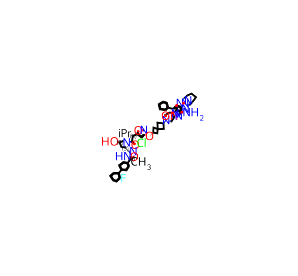 CC(C)[C@@H](C(=O)N1C[C@H](O)C[C@H]1C1=NO[C@](C)(c2ccc(-c3ccccc3F)cc2)N1)c1onc(O[C@H]2CC3(C2)C[C@H](N2CCC(c4cnc(N5C6CCC5CN(c5cc(-c7ccccc7O)nnc5N)C6)nc4)CC2)C3)c1Cl